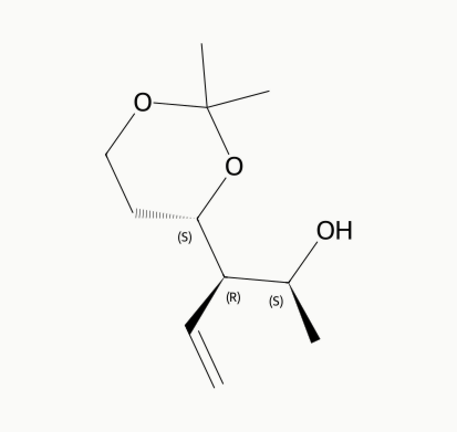 C=C[C@H]([C@H](C)O)[C@@H]1CCOC(C)(C)O1